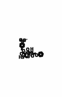 O=C(COc1ccccc1)N[C@@H]1C(=O)N2C(C(=O)OCc3ccc([N+](=O)[O-])cc3)=C(S)CS[C@H]12